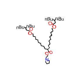 CCCCC(CCCC)CC(=O)OCCCCCCCCCCC(CCCCCCCCCCOC(=O)CC(CCCC)CCCC)C(=O)OCCN1CCCC1